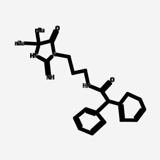 CCCCC1(CCCC)NC(=N)N(CCCNC(=O)C(C2=CC=CCC2)c2ccccc2)C1=O